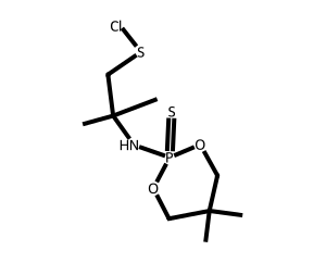 CC1(C)COP(=S)(NC(C)(C)CSCl)OC1